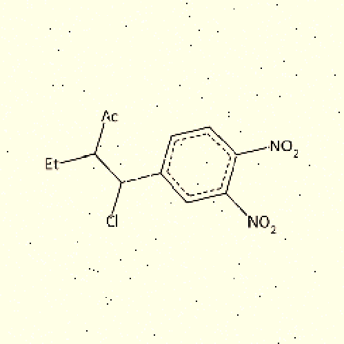 CCC(C(C)=O)C(Cl)c1ccc([N+](=O)[O-])c([N+](=O)[O-])c1